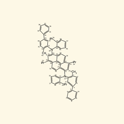 Cc1ccc(-c2ccccc2)cc1N(c1ccccc1C(C)C)c1cc(C(C)C)c2ccc3c(N(c4cc(-c5ccccc5)ccc4C)c4ccccc4C(C)C)cc(C(C)C)c4ccc1c2c43